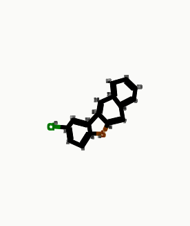 Clc1ccc2sc3cc4ccccc4cc3c2c1